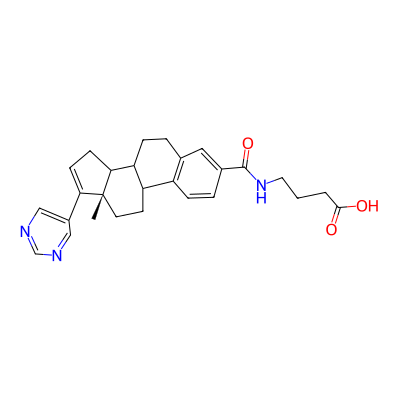 C[C@]12CCC3c4ccc(C(=O)NCCCC(=O)O)cc4CCC3C1CC=C2c1cncnc1